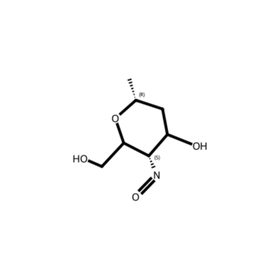 C[C@@H]1CC(O)[C@H](N=O)C(CO)O1